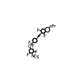 CCCC1CCc2c(cc(F)c(C#Cc3ccc(C(F)(F)Oc4cc(F)c(N=C=S)c(F)c4)cc3)c2F)C1